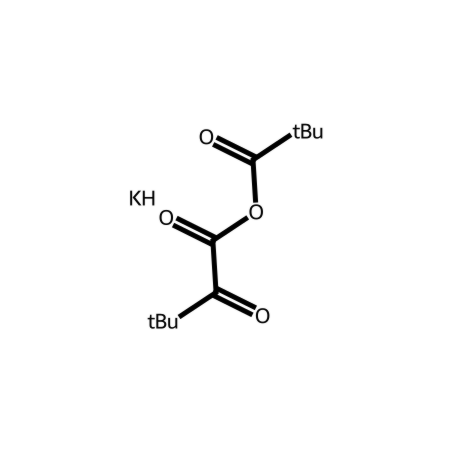 CC(C)(C)C(=O)OC(=O)C(=O)C(C)(C)C.[KH]